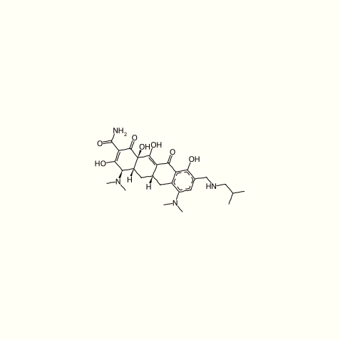 CC(C)CNCc1cc(N(C)C)c2c(c1O)C(=O)C1=C(O)[C@@]3(O)C(=O)C(C(N)=O)=C(O)[C@H](N(C)C)[C@H]3C[C@H]1C2